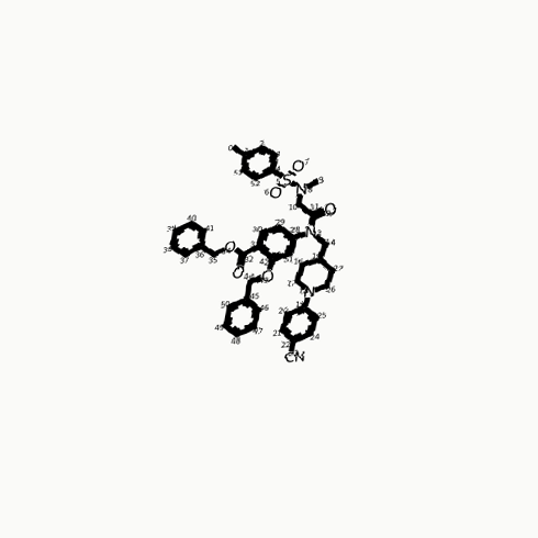 Cc1ccc(S(=O)(=O)N(C)CC(=O)N(CC2CCN(c3ccc(C#N)cc3)CC2)c2ccc(C(=O)OCc3ccccc3)c(OCc3ccccc3)c2)cc1